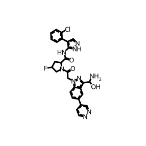 NC(O)c1nn(CC(=O)N2CC(F)CC2C(=O)Nc2[nH]ncc2-c2ccccc2Cl)c2ccc(-c3ccnnc3)cc12